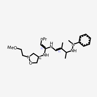 CCC/C=C(\N/C=C(\C)C(C)NN(C)c1ccccc1)N[C@H]1CON(CCOC)C1